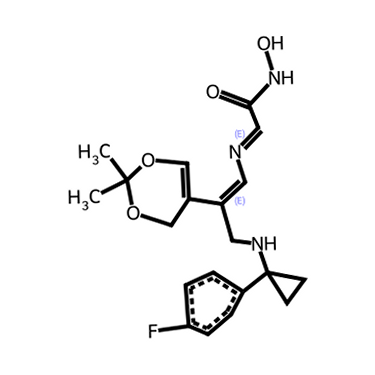 CC1(C)OC=C(/C(=C\N=C\C(=O)NO)CNC2(c3ccc(F)cc3)CC2)CO1